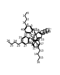 CCCCc1ccc([Si](c2ccc(CCCC)cc2)(c2ccc(CCCC)cc2)[C]2([Ti+3])C=CC=C2C(C)(C)C)cc1.[Cl-].[Cl-].[Cl-]